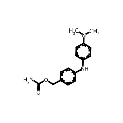 CN(C)c1ccc(Nc2ccc(COC(N)=O)cc2)cc1